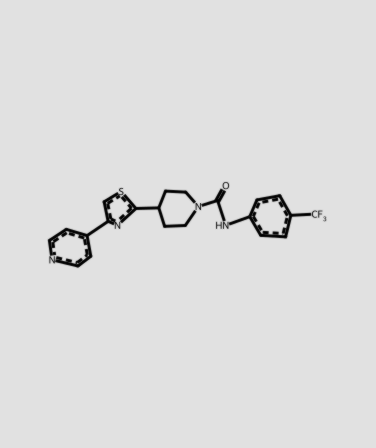 O=C(Nc1ccc(C(F)(F)F)cc1)N1CCC(c2nc(-c3ccncc3)cs2)CC1